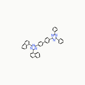 c1ccc(-c2nc(-c3ccccc3)nc(-c3ccc(-c4ccc(-c5nc(-c6cccc7ccccc67)nc(-c6cccc7ccccc67)n5)cc4)cc3)n2)cc1